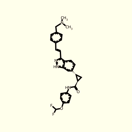 CN(C)Cc1ccc(/C=C/c2n[nH]c3cc([C@@H]4C[C@H]4C(=O)Nc4ccc(OC(F)F)cc4)ccc23)cc1